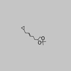 CC1(C)OCC(CCC=CCC2CC2)O1